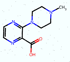 CN1CCN(c2nccnc2C(=O)O)CC1